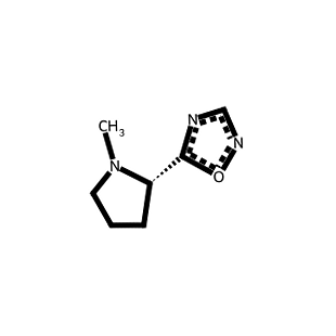 CN1CCC[C@H]1c1ncno1